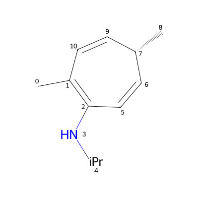 CC1=C(NC(C)C)C=C[C@@H](C)C=C1